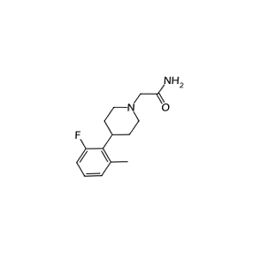 Cc1cccc(F)c1C1CCN(CC(N)=O)CC1